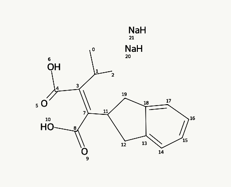 CC(C)/C(C(=O)O)=C(/C(=O)O)C1Cc2ccccc2C1.[NaH].[NaH]